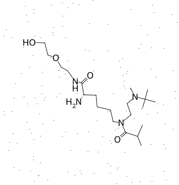 CC(C)C(=O)N(CCCC[C@H](N)C(=O)NCCOCCO)CCN(C)C(C)(C)C